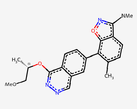 CNc1noc2c(-c3ccc4c(O[C@@H](C)COC)nncc4c3)c(C)ccc12